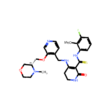 COc1c(F)cccc1NC(=S)C1=C(NCc2ccncc2OC[C@H]2COCCN2C)CCNC1=O